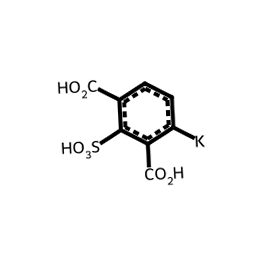 O=C(O)c1cc[c]([K])c(C(=O)O)c1S(=O)(=O)O